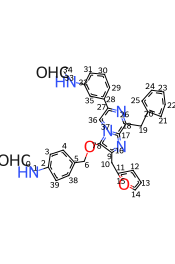 O=CNc1ccc(COc2c(Cc3ccco3)nc3c(Cc4ccccc4)nc(-c4cccc(NC=O)c4)cn23)cc1